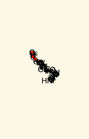 O=C(Nc1cnccc1N1CCNCC1)c1ccc(N2Cc3ccc(OCCN4CCOCC4)cc3C2=O)s1